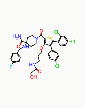 NC(=O)C1(NCc2ccc(F)cc2)CCN(C(=O)c2sc(-c3ccc(Cl)cc3Cl)c(-c3ccc(Cl)cc3)c2OCCCNC(=O)CO)CC1